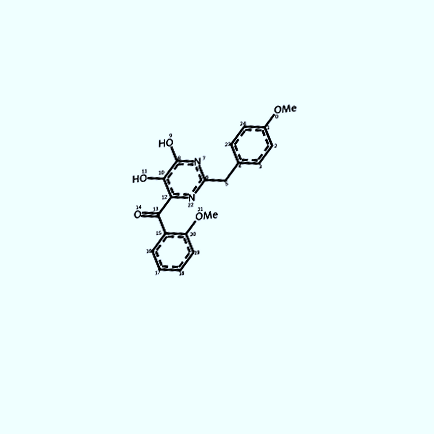 COc1ccc(Cc2nc(O)c(O)c(C(=O)c3ccccc3OC)n2)cc1